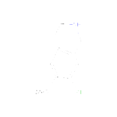 COc1cc2c(cc1Cl)CNCC2